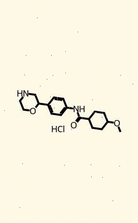 COC1CCC(C(=O)Nc2ccc(C3CNCCO3)cc2)CC1.Cl